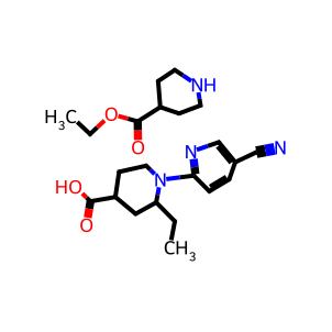 CCC1CC(C(=O)O)CCN1c1ccc(C#N)cn1.CCOC(=O)C1CCNCC1